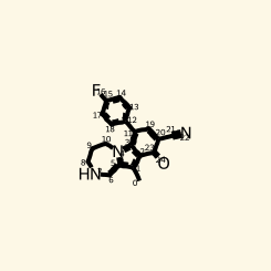 Cc1c2c(n3c1=CNCCC3)=C(c1ccc(F)cc1)C=C(C#N)C2=O